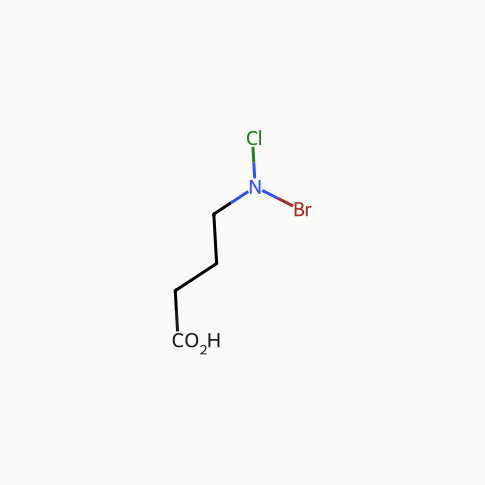 O=C(O)CCCN(Cl)Br